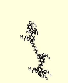 COc1cc(C2NC(=O)c3cc(C)ccc3N2)ccc1OCCCCCCCOc1cc(C=Cc2cc(OC)c(OC)c(OC)c2)ccc1OC